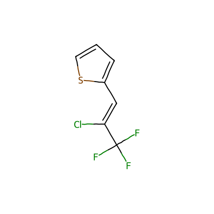 FC(F)(F)C(Cl)=Cc1cccs1